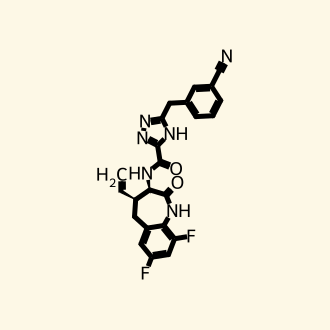 C=C[C@@H]1Cc2cc(F)cc(F)c2NC(=O)[C@@H]1NC(=O)c1nnc(Cc2cccc(C#N)c2)[nH]1